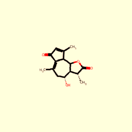 CC1=CC(=O)C2=C(C)C[C@@H](O)C3C(OC(=O)[C@@H]3C)C12